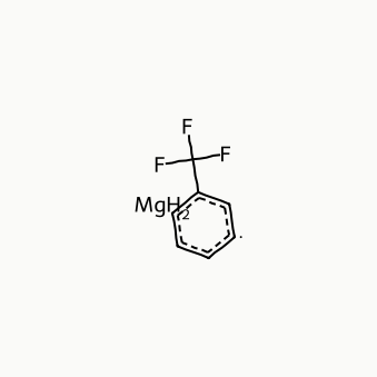 FC(F)(F)c1c[c]ccc1.[MgH2]